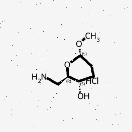 CO[C@@H]1CC[C@H](O)[C@@H](CN)O1.Cl